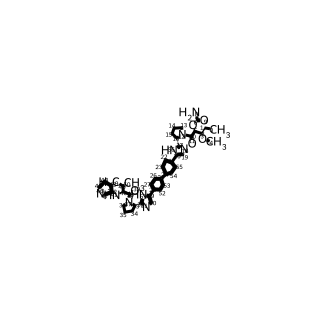 CC[C@@H](OC)[C@H](OC(N)=O)C(=O)N1CCC[C@H]1c1ncc(-c2ccc(-c3ccc(-c4cnc([C@@H]5CCCN5C(=O)[C@@H](Nc5cccnc5)C(C)C)[nH]4)cc3)cc2)[nH]1